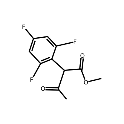 COC(=O)C(C(C)=O)c1c(F)cc(F)cc1F